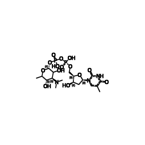 Cc1cn([C@H]2C[C@@H](O)[C@@H](COP(=O)(O)OP(=O)(O)O[C@H]3OC(C)[C@@H](O)[C@H](N(C)C)C3O)O2)c(=O)[nH]c1=O